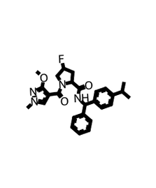 COc1nn(C)cc1C(=O)N1CC(F)CC1C(=O)NC(c1ccccc1)c1ccc(C(C)C)cc1